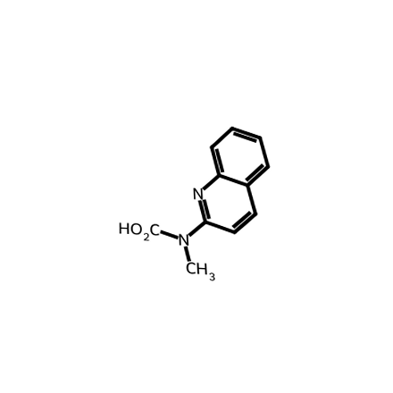 CN(C(=O)O)c1ccc2ccccc2n1